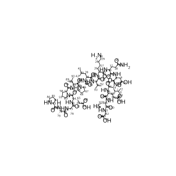 CC(C)C[C@H](NC(=O)[C@H](CC(=O)O)NC(=O)[C@H](CCC(N)=O)NC(=O)[C@H](CCCCN)NC(=O)[C@@H](NC(=O)[C@H](CC(C)C)NC(=O)[C@@H]1CCCN1C(=O)[C@@H](NC(=O)[C@@H]1CCCN1C(=O)[C@H](CCC(=O)O)NC(=O)[C@H](C)NC(=O)[C@H](C)NC(=O)[C@@H]1CCCN1)C(C)C)C(C)C)C(=O)N[C@@H](CCC(=O)O)C(=O)N[C@@H](CS)C(=O)NCC(=O)O